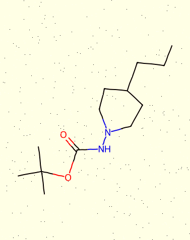 CCCC1CCN(NC(=O)OC(C)(C)C)CC1